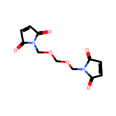 O=C1C=CC(=O)N1COCOCN1C(=O)C=CC1=O